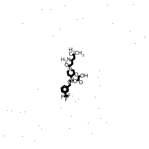 CC(C)C[C@H](N)CC(=O)N1CCC(=NOCc2cccc(C(F)(F)F)c2)CC1.O=C(O)C(=O)O